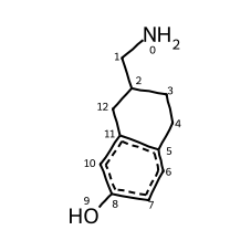 NCC1CCc2ccc(O)cc2C1